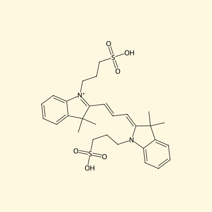 CC1(C)C(=CC=CC2=[N+](CCCS(=O)(=O)O)c3ccccc3C2(C)C)N(CCCS(=O)(=O)O)c2ccccc21